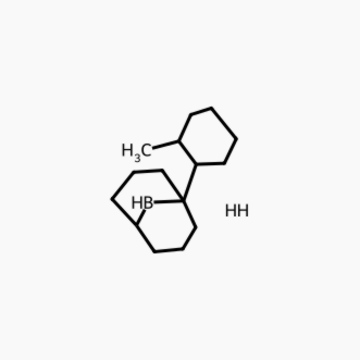 CC1CCCCC1C12BC(CCC1)CCC2.[HH]